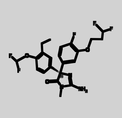 CCc1cc([C@]2(c3ccc(F)c(OCCC(F)F)c3)N=C(N)N(C)C2=O)ccc1OC(F)F